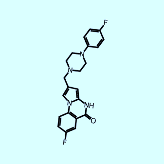 O=c1[nH]c2cc(CN3CCN(c4ccc(F)cc4)CC3)cn2c2ccc(F)cc12